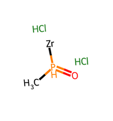 C[PH](=O)[Zr].Cl.Cl